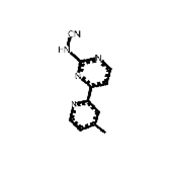 Cc1ccnc(-c2ccnc(NC#N)n2)c1